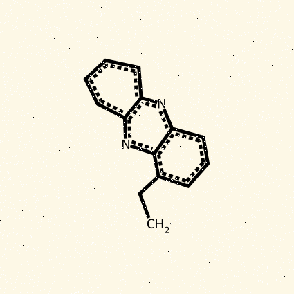 [CH2]Cc1cccc2nc3ccccc3nc12